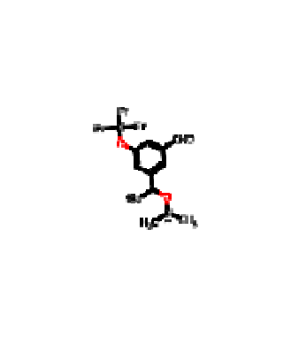 CC(C)[Si](Oc1cc(C=O)cc(C(O[SiH](C)C)C(C)(C)C)c1)(C(C)C)C(C)C